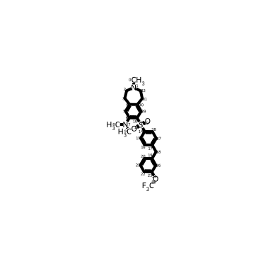 CN1CCc2cc(N(C)C)c(S(=O)(=O)c3ccc(Cc4cccc(OC(F)(F)F)c4)cc3)cc2CC1